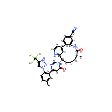 Cc1ccc(-n2cc(C(F)(F)F)nn2)c(-c2cc(=O)n([C@H]3CCC[C@@H](C)C(=O)Nc4cc(C#N)ccc4-c4ccnc3c4)cn2)c1